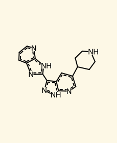 c1cnc2[nH]c(-c3n[nH]c4ncc(C5CCNCC5)cc34)nc2c1